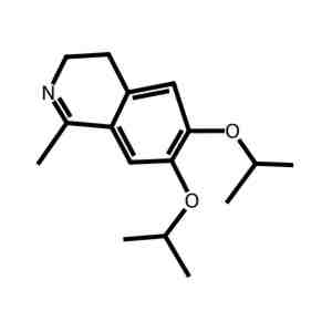 CC1=NCCc2cc(OC(C)C)c(OC(C)C)cc21